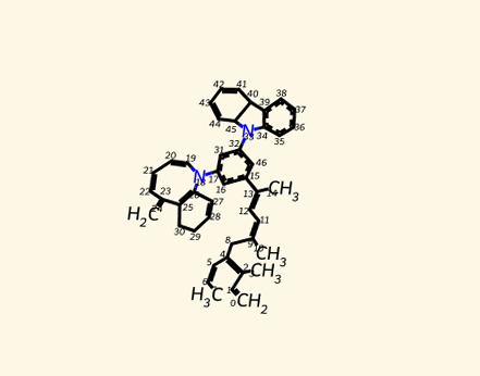 C=C/C(C)=C(\C=C/C)C/C(C)=C\C=C(/C)c1cc(N2/C=C\C=C/C(=C)C3=C2C=CCC3)cc(N2c3ccccc3C3C=CC=CC32)c1